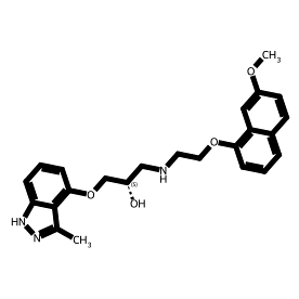 COc1ccc2cccc(OCCNC[C@H](O)COc3cccc4[nH]nc(C)c34)c2c1